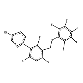 CCc1ccc(-c2c([O])cc(F)c(COc3c(F)c(F)c(F)c(F)c3F)c2F)cc1